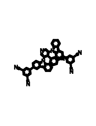 N#Cc1cc(C#N)cc(-c2ccc3c(c2)c2ccccc2n3-c2cncc(-n3c4ccccc4c4cc(-c5cc(C#N)cc(C#N)c5)ccc43)c2-c2cccc(C#N)c2)c1